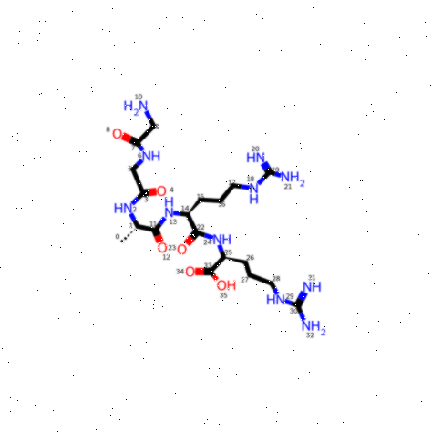 C[C@H](NC(=O)CNC(=O)CN)C(=O)N[C@@H](CCCNC(=N)N)C(=O)N[C@@H](CCCNC(=N)N)C(=O)O